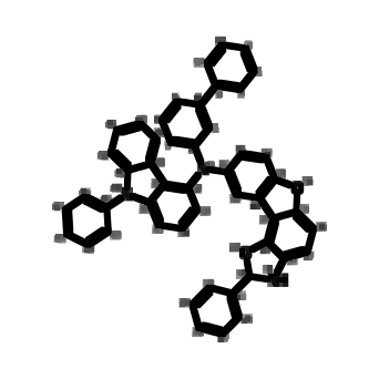 c1ccc(-c2cccc(N(c3ccc4oc5ccc6c(c5c4c3)OC(c3ccccc3)N6)c3cccc4c3c3ccccc3n4-c3ccccc3)c2)cc1